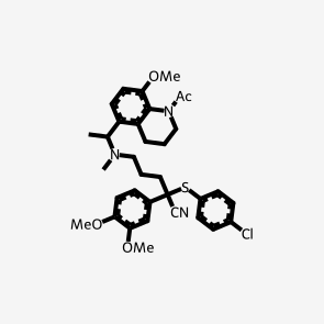 COc1ccc(C(C#N)(CCCN(C)C(C)c2ccc(OC)c3c2CCCN3C(C)=O)Sc2ccc(Cl)cc2)cc1OC